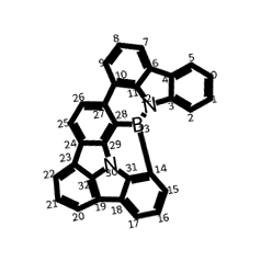 c1ccc2c(c1)c1cccc3c1n2B1c2cccc4c5cccc6c7ccc-3c1c7n(c24)c56